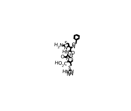 Nc1nc(/C(=N\OCc2ccccc2)C(=O)NC2C(=O)N3C(C(=O)O)=C(CSc4nnn[nH]4)CS[C@H]23)cs1